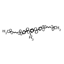 C=CC(=O)OCCCCCOC(=O)Oc1ccc(C(=O)Oc2ccc(OC(=O)c3ccc(OC(=O)OCCCCCOC(=O)C=C)cc3)c(C)c2)cc1